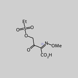 CCS(=O)(=O)OCC(=O)/C(=N/OC)C(=O)O